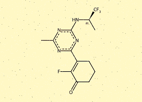 Cc1nc(N[C@H](C)C(F)(F)F)nc(C2=C(F)C(=O)CCC2)n1